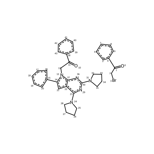 O=C(CBr)c1ccccc1.O=C(Cn1c(-c2ccccc2)cc2c(N3CCCC3)nc(N3CCCC3)nc21)c1ccccc1